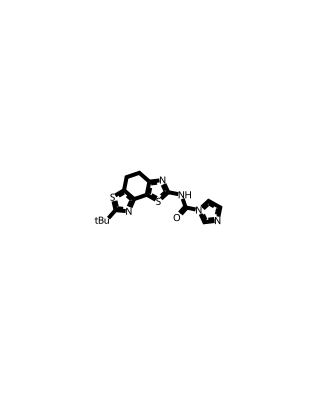 CC(C)(C)c1nc2c(s1)CCc1nc(NC(=O)n3ccnc3)sc1-2